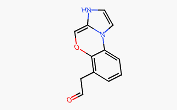 O=CCc1cccc2c1OC=C1NC=CN12